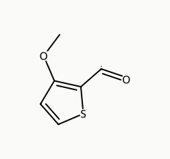 COc1ccsc1[C]=O